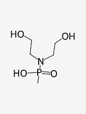 CP(=O)(O)N(CCO)CCO